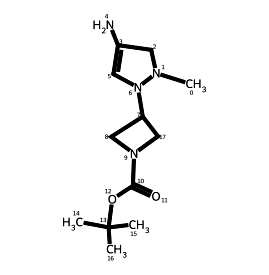 CN1CC(N)=CN1C1CN(C(=O)OC(C)(C)C)C1